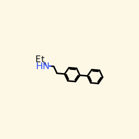 CCNCCc1ccc(-c2ccccc2)cc1